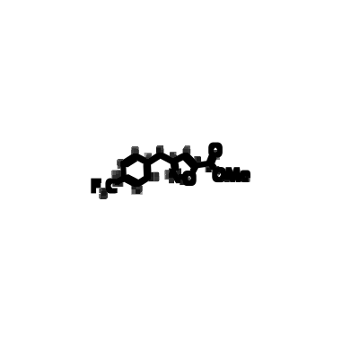 COC(=O)c1cc(Cc2ccc(C(F)(F)F)cc2)no1